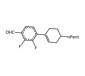 CCCCCC1CC=C(c2ccc(C=O)c(F)c2F)CC1